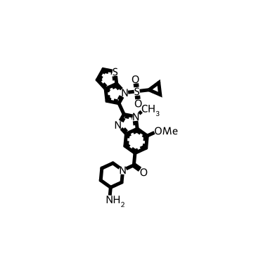 COc1cc(C(=O)N2CCCC(N)C2)cc2nc(-c3cc4ccsc4n3S(=O)(=O)C3CC3)n(C)c12